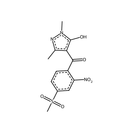 Cc1nn(C)c(O)c1C(=O)c1ccc(S(C)(=O)=O)cc1[N+](=O)[O-]